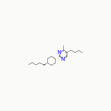 CCCCC[C@H]1CC[C@H](c2ncc(CCCC)c(C)n2)CC1